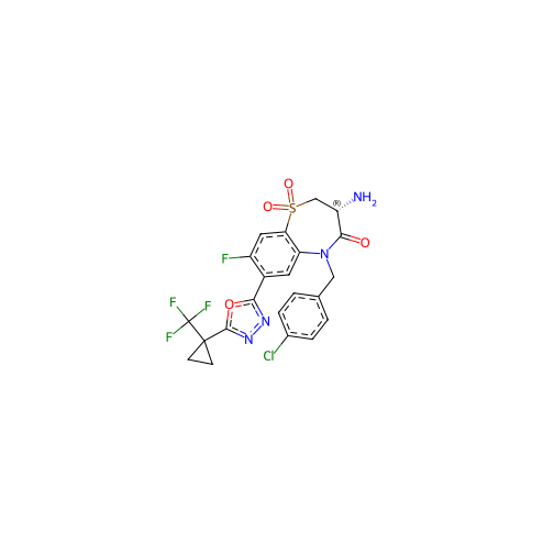 N[C@H]1CS(=O)(=O)c2cc(F)c(-c3nnc(C4(C(F)(F)F)CC4)o3)cc2N(Cc2ccc(Cl)cc2)C1=O